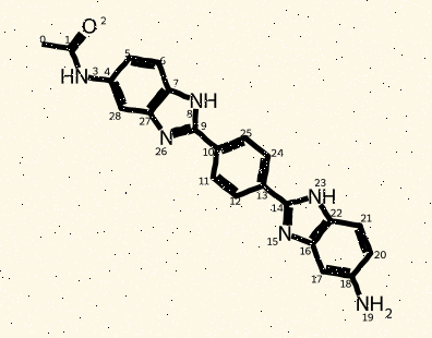 CC(=O)Nc1ccc2[nH]c(-c3ccc(-c4nc5cc(N)ccc5[nH]4)cc3)nc2c1